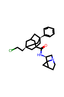 O=C(N[C@H]1CN2CCC3CC312)C12CC3C[C@@](CCCl)(C1)C[C@](c1ccccc1)(C3)C2